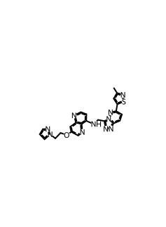 Cc1cc(-c2ccc3nnc(CNc4ccnc5cc(OCCn6cccn6)cnc45)n3n2)sn1